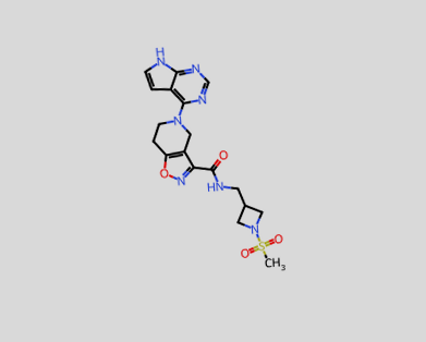 CS(=O)(=O)N1CC(CNC(=O)c2noc3c2CN(c2ncnc4[nH]ccc24)CC3)C1